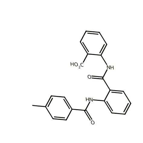 Cc1ccc(C(=O)Nc2ccccc2C(=O)Nc2ccccc2C(=O)O)cc1